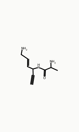 C#CC(C=CCN)NC(=O)C(C)N